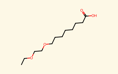 CCOCCOCCCCCCCC(=O)O